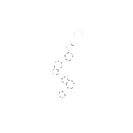 Cc1cn(-c2cncc3[nH]c(-c4n[nH]c5ncc(-c6cncc(NC(=O)CC7CCNCC7)c6)cc45)cc23)cn1